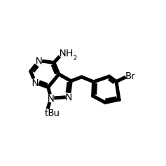 CC(C)(C)n1nc(Cc2cccc(Br)c2)c2c(N)ncnc21